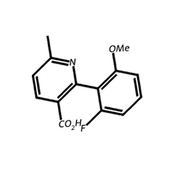 COc1cccc(F)c1-c1nc(C)ccc1C(=O)O